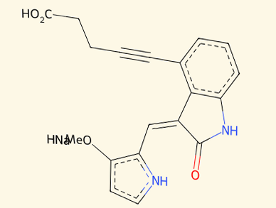 COc1cc[nH]c1C=C1C(=O)Nc2cccc(C#CCCC(=O)O)c21.[NaH]